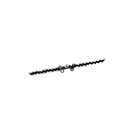 CCCCCCCCCCCCCCCCCCOC(=O)CCSCCC(=O)OCCCCCCCCCCCCCCCCCC